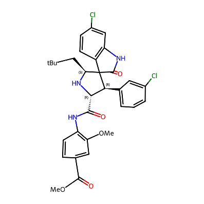 COC(=O)c1ccc(NC(=O)[C@@H]2N[C@@H](CC(C)(C)C)C3(C(=O)Nc4cc(Cl)ccc43)[C@H]2c2cccc(Cl)c2)c(OC)c1